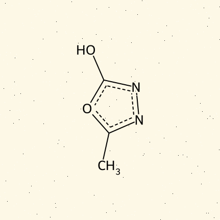 Cc1nnc(O)o1